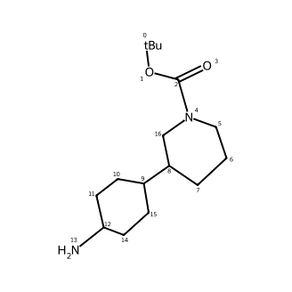 CC(C)(C)OC(=O)N1CCCC(C2CCC(N)CC2)C1